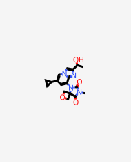 CC(O)c1cn2cc(C3CC3)cc(N3C(=O)N(C)C(=O)C34COC4)c2n1